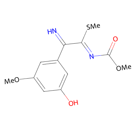 COC(=O)N=C(SC)C(=N)c1cc(O)cc(OC)c1